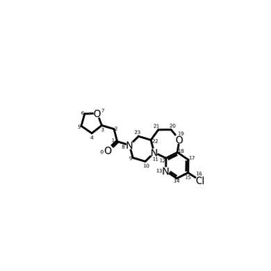 O=C(CC1CCCO1)N1CCN2c3ncc(Cl)cc3OCCC2C1